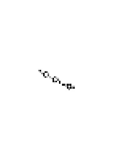 CCC[C@H]1CC[C@H](CC[C@H]2CC[C@H](C=CC#Cc3ccc(F)cc3)CC2)CC1